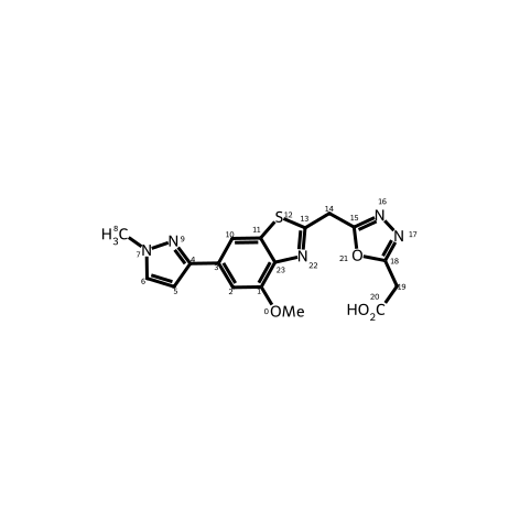 COc1cc(-c2ccn(C)n2)cc2sc(Cc3nnc(CC(=O)O)o3)nc12